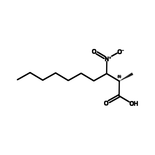 CCCCCCCC([C@H](C)C(=O)O)[N+](=O)[O-]